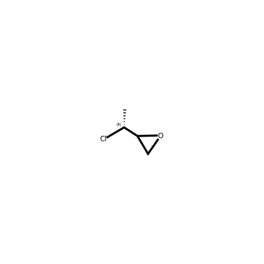 C[C@@H](Cl)C1CO1